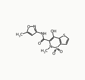 Cc1cc(NC(=O)C2=C(O)c3sccc3S(=O)(=O)N2C)no1